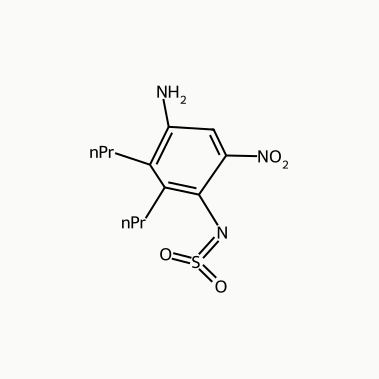 CCCc1c(N)cc([N+](=O)[O-])c(N=S(=O)=O)c1CCC